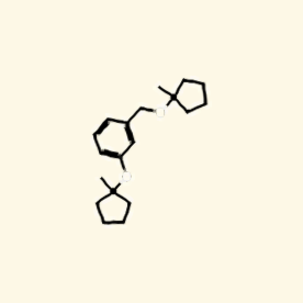 CC1(OCc2cccc(OC3(C)CCCC3)c2)CCCC1